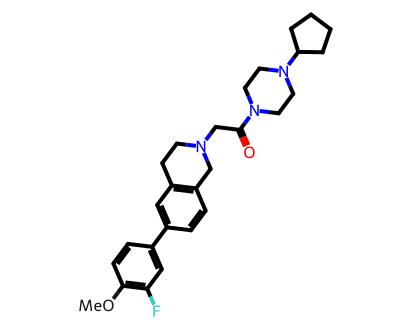 COc1ccc(-c2ccc3c(c2)CCN(CC(=O)N2CCN(C4CCCC4)CC2)C3)cc1F